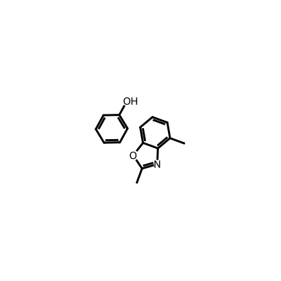 Cc1nc2c(C)cccc2o1.Oc1ccccc1